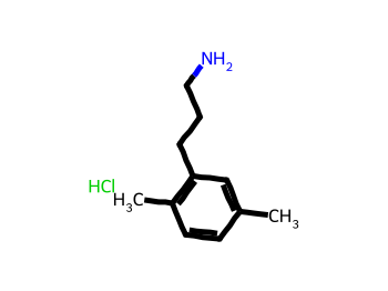 Cc1ccc(C)c(CCCN)c1.Cl